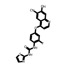 [C-]#[N+]c1cc2c(Oc3ccc(NC(=O)Nc4nccs4)c(F)c3)ccnc2cc1O